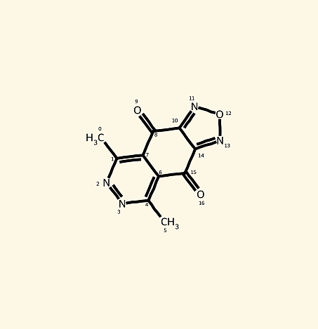 Cc1nnc(C)c2c1C(=O)c1nonc1C2=O